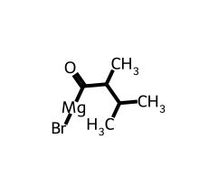 CC(C)C(C)[C](=O)[Mg][Br]